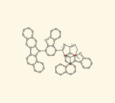 CC1C/C=C(c2cccc3c2oc2ccccc23)/N=C(c2ccc(-n3c4cc5ccccc5cc4c4ccc5ccccc5c43)c3oc4ccccc4c23)\N=C/1c1cccc2ccccc12